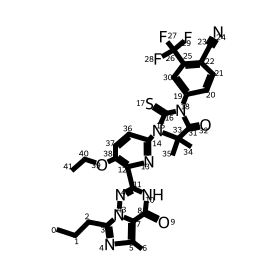 CCCc1nc(C)c2c(=O)[nH]c(-c3nc(N4C(=S)N(c5ccc(C#N)c(C(F)(F)F)c5)C(=O)C4(C)C)ccc3OCC)nn12